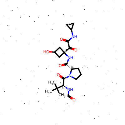 CC(C)(C)[C@H](NC=O)C(=O)N1CCC[C@H]1C(=O)NC1(C(=O)C(=O)NC2CC2)CC(O)C1